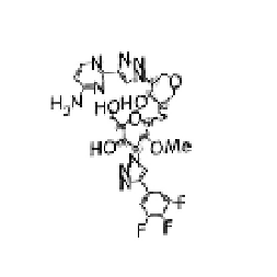 CO[C@@H]1[C@@H](n2cc(-c3cc(F)c(F)c(F)c3)nn2)[C@@H](O)[C@@H](CO)O[C@H]1S[C@@H]1COC[C@H](n2cc(-c3nccc(N)n3)nn2)[C@H]1O